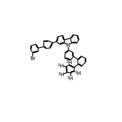 [2H]c1c([2H])c([2H])c(-c2ccccc2-c2cccc(-n3c4ccccc4c4ccc(-c5ccc(-c6cccc(Br)c6)cc5)cc43)c2)c([2H])c1[2H]